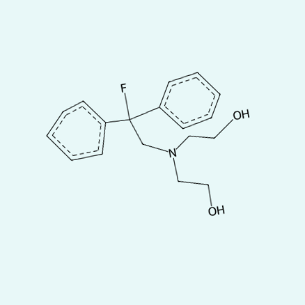 OCCN(CCO)CC(F)(c1ccccc1)c1ccccc1